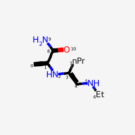 C=C(N/C(=C/NCC)CCC)C(N)=O